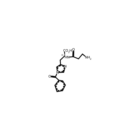 NCCC(=O)N[C@@H](Cc1cn(C(=O)c2ccccc2)cn1)C(=O)O